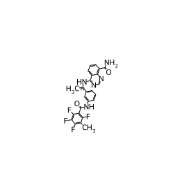 Cc1c(F)c(F)c(F)c(C(=O)Nc2cccc([C@@H](C)Nc3ncnc4c(C(N)=O)cccc34)c2)c1F